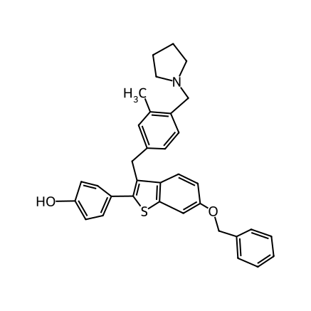 Cc1cc(Cc2c(-c3ccc(O)cc3)sc3cc(OCc4ccccc4)ccc23)ccc1CN1CCCC1